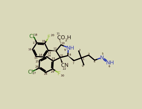 CC(C)(CCN=N)C[C@@H]1N[C@@H](C(=O)O)[C@H](c2cccc(Cl)c2F)[C@@]1(C#N)c1ccc(Cl)cc1F